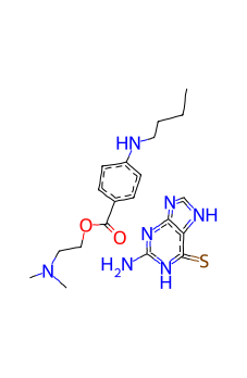 CCCCNc1ccc(C(=O)OCCN(C)C)cc1.Nc1nc2nc[nH]c2c(=S)[nH]1